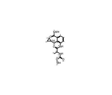 CNC(=O)c1cccc(NC(=O)C(C)NC(=O)OC(C)(C)C)c1NC1CC1